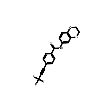 O=C(Nc1ccc2c(c1)OCCO2)c1ccc(C#CC(F)(F)F)cc1